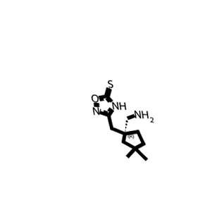 CC1(C)CC[C@](CN)(Cc2noc(=S)[nH]2)C1